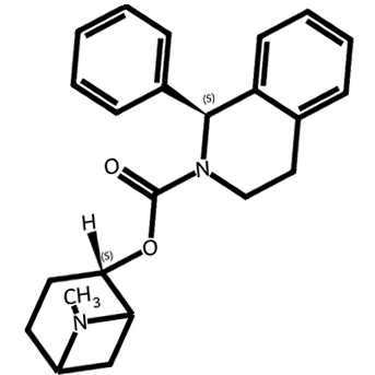 CN1C2CC[C@H](OC(=O)N3CCc4ccccc4[C@@H]3c3ccccc3)C1C2